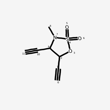 C#CC1OS(=O)(=O)N(C)C1C#C